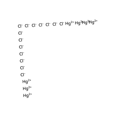 [Cl-].[Cl-].[Cl-].[Cl-].[Cl-].[Cl-].[Cl-].[Cl-].[Cl-].[Cl-].[Cl-].[Cl-].[Cl-].[Cl-].[Hg+2].[Hg+2].[Hg+2].[Hg+2].[Hg+2].[Hg+2].[Hg+2]